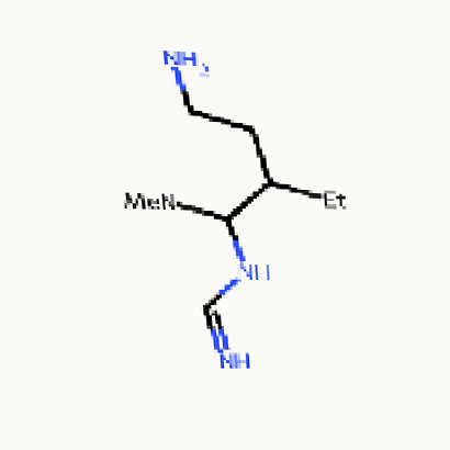 CCC(CCN)C(NC)NC=N